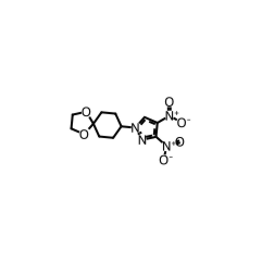 O=[N+]([O-])c1cn(C2CCC3(CC2)OCCO3)nc1[N+](=O)[O-]